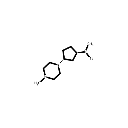 CCN(C)[C@@H]1CC[C@@H](N2CCN(C)CC2)C1